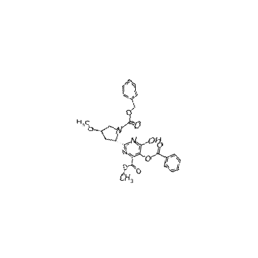 COC(=O)c1nc([C@@H]2C[C@@H](OC)CN2C(=O)OCc2ccccc2)nc(O)c1OC(=O)c1ccccc1